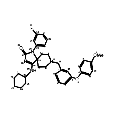 COc1ccc(Oc2cccc(CN3CCC4(CC3)C(NC3CCCCC3)=NC(=O)N4c3cccc(F)c3)c2)cc1